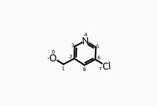 [O]Cc1cncc(Cl)c1